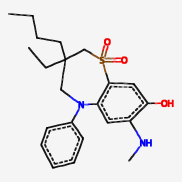 CCCCC1(CC)CN(c2ccccc2)c2cc(NC)c(O)cc2S(=O)(=O)C1